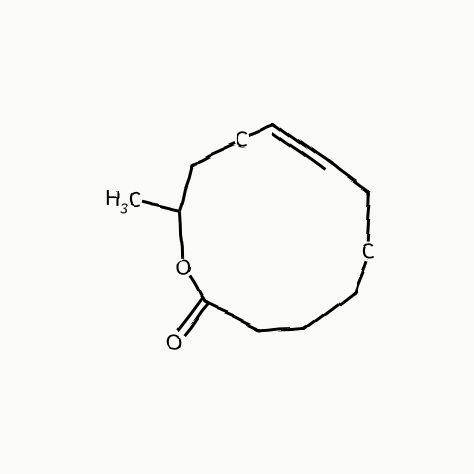 CC1CCC=CCCCCCC(=O)O1